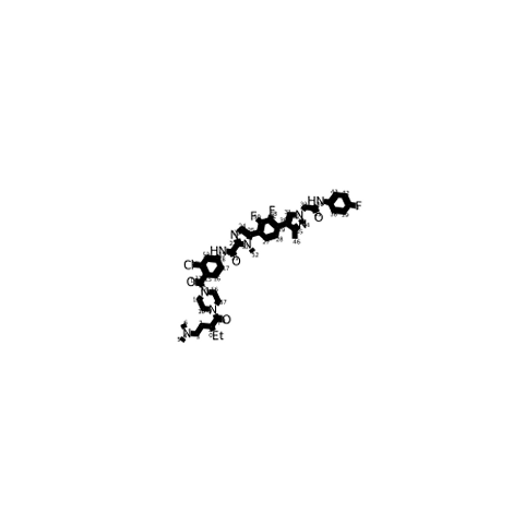 CCC(CCN(C)C)C(=O)N1CCN(C(=O)c2ccc(NC(=O)c3ncc(-c4ccc(-c5cn(CC(=O)Nc6ccc(F)cc6)nc5C)c(F)c4F)n3C)cc2Cl)CC1